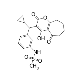 CS(=O)(=O)Nc1cccc(C(c2c(O)c3c(oc2=O)CCCCC3=O)C2CC2)c1